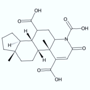 C[C@@]12CCC[C@H]1[C@@H]1C(C(=O)O)CC3N(C(=O)O)C(=O)C=C(C(=O)O)[C@]3(C)[C@@H]1CC2